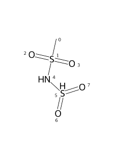 CS(=O)(=O)N[SH](=O)=O